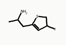 CC(N)CC1=CC(I)CS1